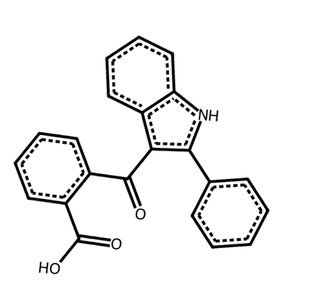 O=C(O)c1ccccc1C(=O)c1c(-c2ccccc2)[nH]c2ccccc12